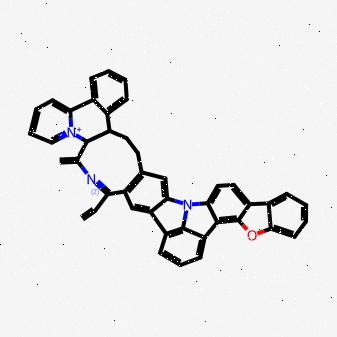 C=C/C1=N/C(=C)C2C(CCc3cc4c(cc31)c1cccc3c5c6oc7ccccc7c6ccc5n4c13)c1ccccc1-c1cccc[n+]12